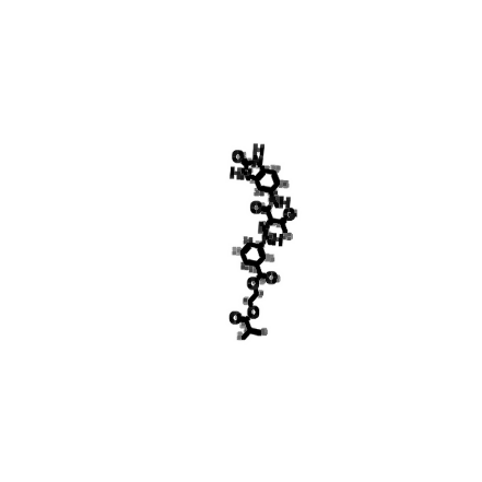 C=C(C)C(=O)OCCOC(=O)c1cccc(N/N=C(\C(C)=O)C(=O)Nc2ccc3[nH]c(=O)[nH]c3c2)c1